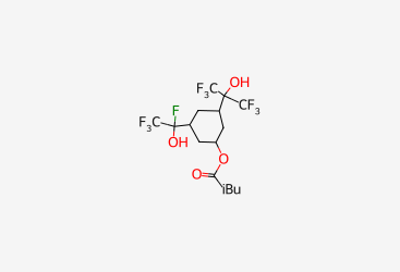 CCC(C)C(=O)OC1CC(C(O)(F)C(F)(F)F)CC(C(O)(C(F)(F)F)C(F)(F)F)C1